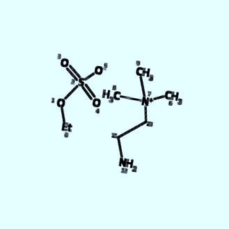 CCOS(=O)(=O)[O-].C[N+](C)(C)CCN